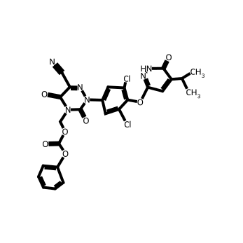 CC(C)c1cc(Oc2c(Cl)cc(-n3nc(C#N)c(=O)n(COC(=O)Oc4ccccc4)c3=O)cc2Cl)n[nH]c1=O